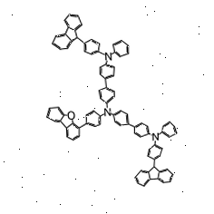 c1ccc(N(c2ccc(-c3ccc(N(c4ccc(-c5ccc(N(c6ccccc6)c6ccc(C7c8ccccc8-c8ccccc87)cc6)cc5)cc4)c4ccc(-c5cccc6c5oc5ccccc56)cc4)cc3)cc2)c2ccc(C3c4ccccc4-c4ccccc43)cc2)cc1